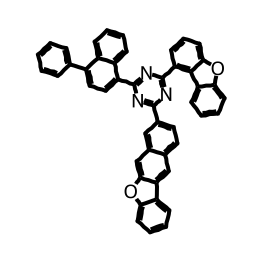 c1ccc(-c2ccc(-c3nc(-c4ccc5cc6c(cc5c4)oc4ccccc46)nc(-c4cccc5oc6ccccc6c45)n3)c3ccccc23)cc1